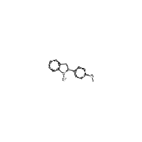 COc1ccc(N2Cc3ccccc3[S+]2[O-])cc1